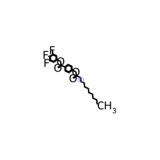 CCCCCCCCC/C=C/C(=O)Oc1ccc(C(=O)Oc2cc(F)c(F)c(F)c2)cc1